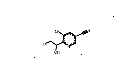 N#Cc1cnc(C(O)CO)c(Cl)c1